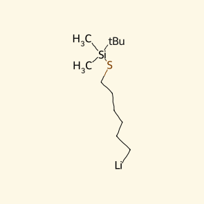 [Li][CH2]CCCCCS[Si](C)(C)C(C)(C)C